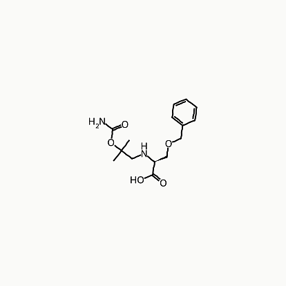 CC(C)(CN[C@@H](COCc1ccccc1)C(=O)O)OC(N)=O